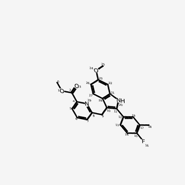 COC(=O)c1cccc(Cc2c(-c3ccc(F)c(C)c3)[nH]c3cc(OC)ccc23)n1